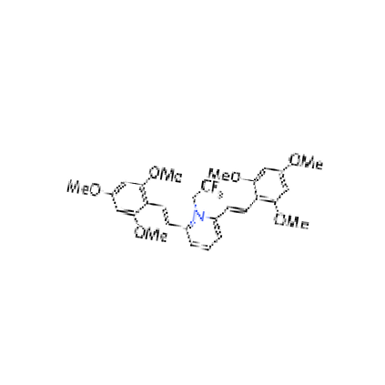 COc1cc(OC)c(/C=C/c2cccc(/C=C/c3c(OC)cc(OC)cc3OC)[n+]2CC(F)(F)F)c(OC)c1